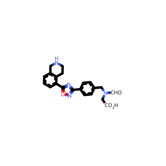 O=CN(CC(=O)O)Cc1ccc(-c2noc(-c3cccc4c3CCNC4)n2)cc1